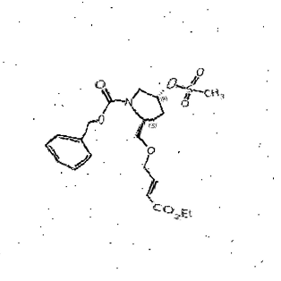 CCOC(=O)C=CCOC[C@@H]1C[C@@H](OS(C)(=O)=O)CN1C(=O)OCc1ccccc1